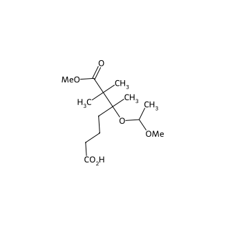 COC(=O)C(C)(C)C(C)(CCCC(=O)O)OC(C)OC